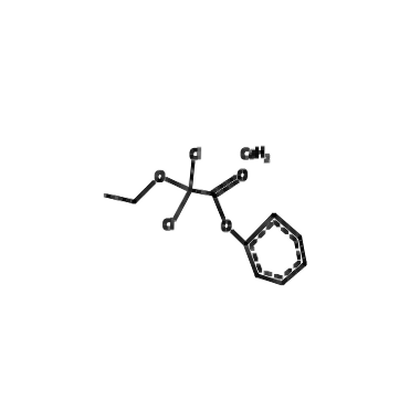 CCOC(Cl)(Cl)C(=O)Oc1ccccc1.[CaH2]